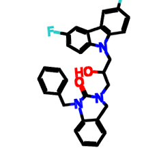 O=C1N(CC(O)Cn2c3ccc(F)cc3c3cc(F)ccc32)Cc2ccccc2N1Cc1ccccc1